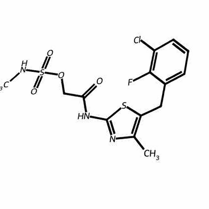 CNS(=O)(=O)OCC(=O)Nc1nc(C)c(Cc2cccc(Cl)c2F)s1